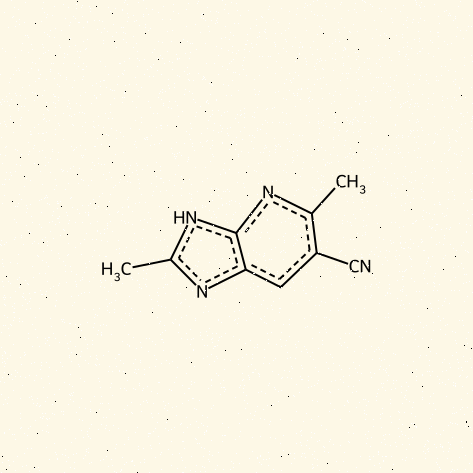 Cc1nc2cc(C#N)c(C)nc2[nH]1